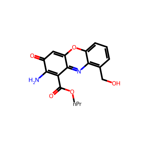 CCCOC(=O)c1c2nc3c(CO)cccc3oc-2cc(=O)c1N